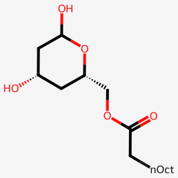 CCCCCCCCCC(=O)OC[C@@H]1C[C@H](O)CC(O)O1